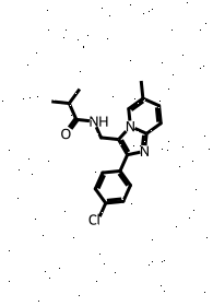 Cc1ccc2nc(-c3ccc(Cl)cc3)c(CNC(=O)C(C)C)n2c1